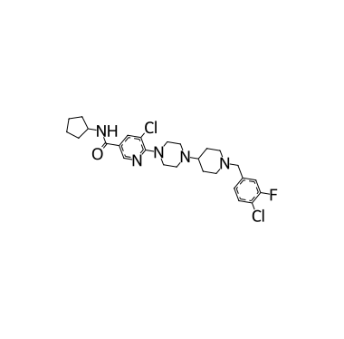 O=C(NC1CCCC1)c1cnc(N2CCN(C3CCN(Cc4ccc(Cl)c(F)c4)CC3)CC2)c(Cl)c1